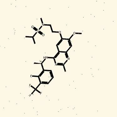 COc1cc2nc(C)nc(N[C@H](C)c3cccc(C(F)(F)F)c3F)c2cc1OCCN(C)S(=O)(=O)C(C)C